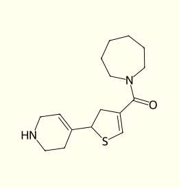 O=C(C1=CSC(C2=CCNCC2)C1)N1CCCCCC1